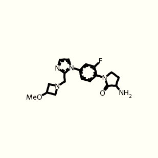 COC1CN(Cc2nccn2-c2ccc(N3CCC(N)C3=O)c(F)c2)C1